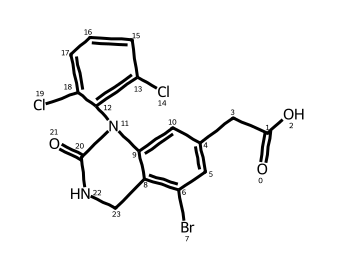 O=C(O)Cc1cc(Br)c2c(c1)N(c1c(Cl)cccc1Cl)C(=O)NC2